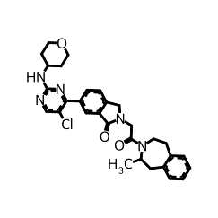 CC1Cc2ccccc2CCN1C(=O)CN1Cc2ccc(-c3nc(NC4CCOCC4)ncc3Cl)cc2C1=O